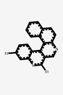 CCc1ccc2c(c1)nc(CC)c1cnc3ccc4ccccc4c3c12